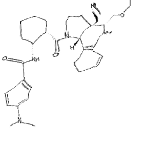 COC[C@@H]1NC2=C(CCC=C2)[C@H]2[C@@H]1CCN2C(=O)[C@H]1CCCC[C@H]1NC(=O)c1ccc(N(C)C)cc1